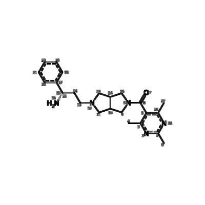 Cc1nc(C)c(C(=O)N2CC3CN(CC[C@H](N)c4ccccc4)CC3C2)c(C)n1